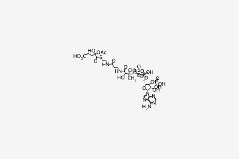 CC(=O)OC(O)(CCC(=O)O)C(=O)SCCNC(=O)CCNC(=O)[C@H](O)C(C)(C)COP(=O)(O)OP(=O)(O)OC[C@H]1O[C@@H](n2cnc3c(N)ncnc32)[C@H](O)[C@@H]1OP(=O)(O)O